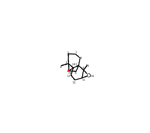 CC12CCCC3(CC1)C1(C)OC1CCC23C